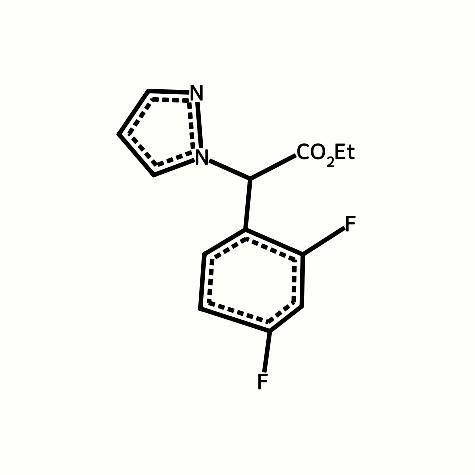 CCOC(=O)C(c1ccc(F)cc1F)n1cccn1